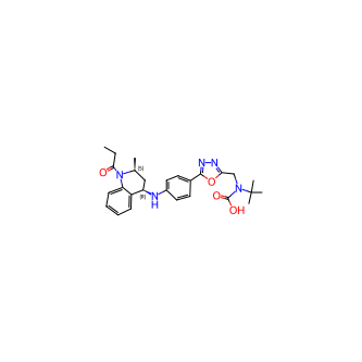 CCC(=O)N1c2ccccc2[C@H](Nc2ccc(-c3nnc(CN(C(=O)O)C(C)(C)C)o3)cc2)C[C@@H]1C